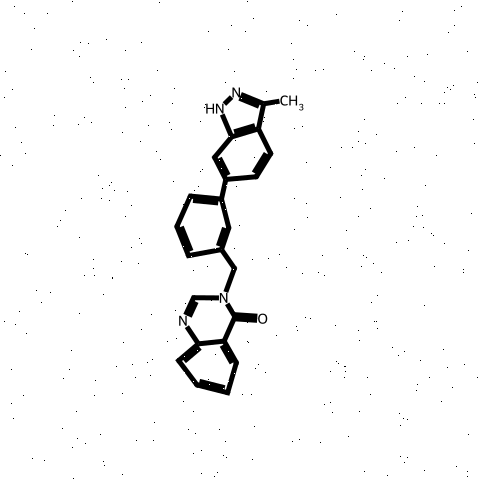 Cc1n[nH]c2cc(-c3cccc(Cn4cnc5ccccc5c4=O)c3)ccc12